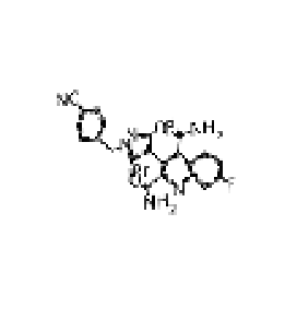 CC(C)c1c(-c2c(C(N)=O)nc3cc(F)ccc3c2C(N)=O)c(C(F)(F)F)nn1Cc1ccc(C#N)cc1